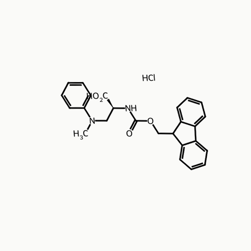 CN(C[C@H](NC(=O)OCC1c2ccccc2-c2ccccc21)C(=O)O)c1ccccc1.Cl